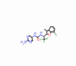 Cc1c([C@H](NC(=O)Nc2cnc(N)nc2)C(F)(F)F)oc2c(F)cccc12